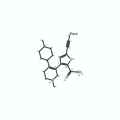 CCCC(C)C#Cc1cc(C2=C(C3CCC(C)CC3)CCN(C)C2)c(C(N)=O)s1